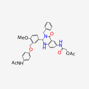 COc1ccc(C2Nc3ccc(NC(=O)COC(C)=O)cc3C(=O)N2Cc2ccccc2)cc1COc1ccc(NC(C)=O)cc1